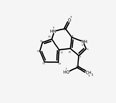 C=C(O)c1c[nH]c2c(=O)[nH]c3ccccc3c12